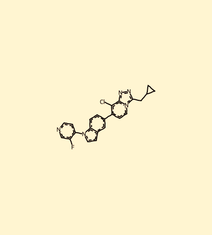 Fc1cnccc1-n1ccc2cc(-c3ccn4c(CC5CC5)nnc4c3Cl)ccc21